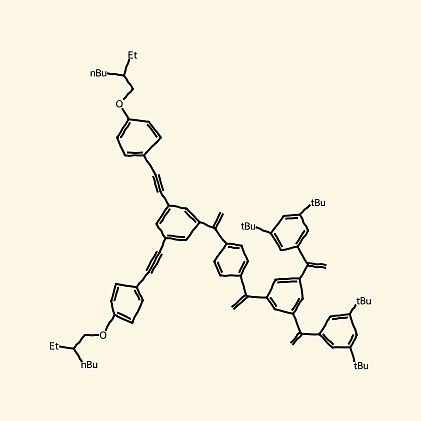 C=C(c1ccc(C(=C)c2cc(C(=C)c3cc(C(C)(C)C)cc(C(C)(C)C)c3)cc(C(=C)c3cc(C(C)(C)C)cc(C(C)(C)C)c3)c2)cc1)c1cc(C#Cc2ccc(OCC(CC)CCCC)cc2)cc(C#Cc2ccc(OCC(CC)CCCC)cc2)c1